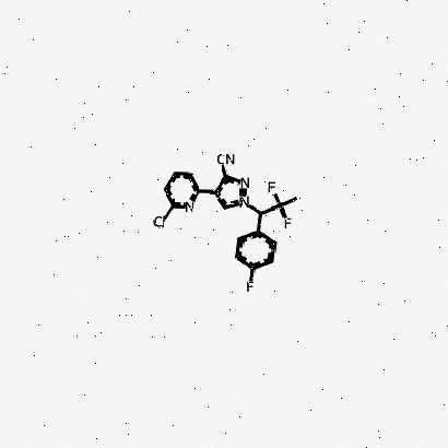 CC(F)(F)C(c1ccc(F)cc1)n1cc(-c2cccc(Cl)n2)c(C#N)n1